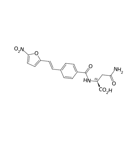 NC(=O)C[C@H](NC(=O)c1ccc(C=Cc2ccc([N+](=O)[O-])o2)cc1)C(=O)O